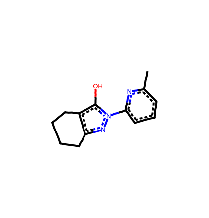 Cc1cccc(-n2nc3c(c2O)CCCC3)n1